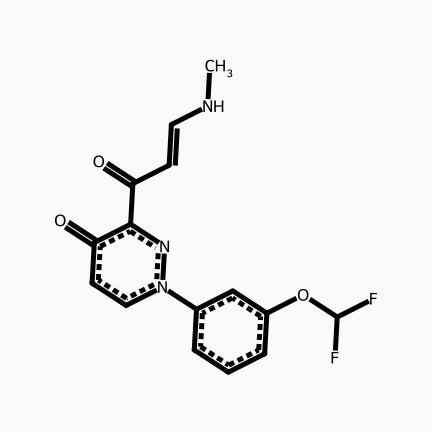 CNC=CC(=O)c1nn(-c2cccc(OC(F)F)c2)ccc1=O